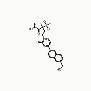 CC(CCn1ccc(-c2ccc3cc(CO)ccc3c2)cc1=O)(C(=O)NO)S(C)(=O)=O